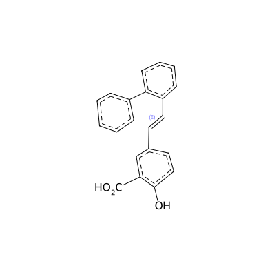 O=C(O)c1cc(/C=C/c2ccccc2-c2ccccc2)ccc1O